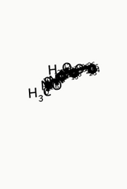 Cc1cc(NC(=O)N2CCN(C(=O)c3cccc(OCCC4CCCCC4)c3)CC2)sn1